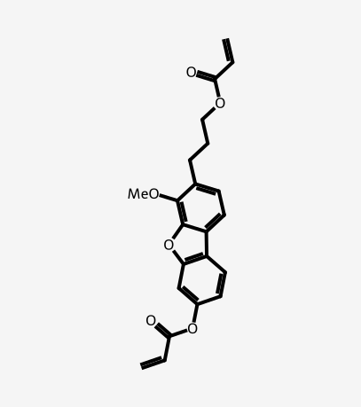 C=CC(=O)OCCCc1ccc2c(oc3cc(OC(=O)C=C)ccc32)c1OC